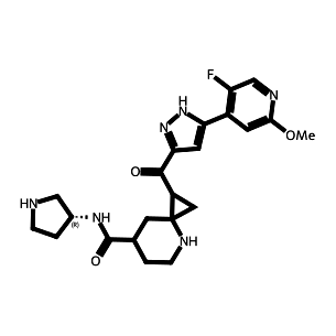 COc1cc(-c2cc(C(=O)C3CC34CC(C(=O)N[C@@H]3CCNC3)CCN4)n[nH]2)c(F)cn1